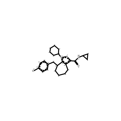 O=C(NC1CC1)c1nn(C2CCCCC2)c2c1CCCCC2Cc1ccc(Cl)cc1